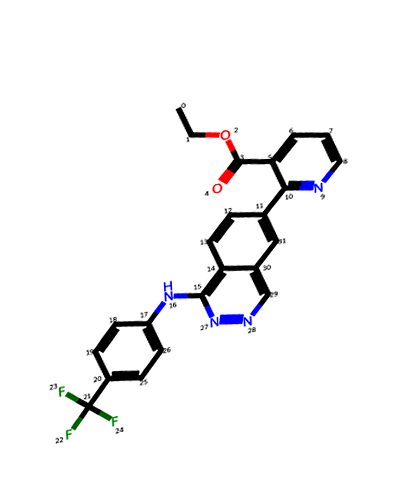 CCOC(=O)c1cccnc1-c1ccc2c(Nc3ccc(C(F)(F)F)cc3)nncc2c1